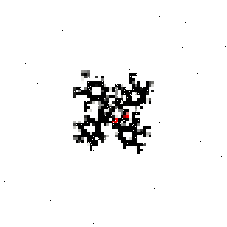 Fc1ccc(C(F)(F)[B-](C(F)(F)c2ccc(F)c(F)c2F)(C(F)(F)c2ccc(F)c(F)c2F)C(F)(F)c2ccc(F)c(F)c2F)c(F)c1F